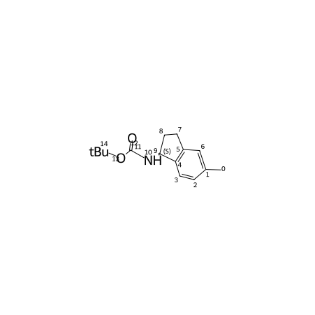 Cc1ccc2c(c1)CC[C@@H]2NC(=O)OC(C)(C)C